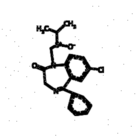 CC(C)[S+]([O-])CN1C(=O)CN=C(c2ccccc2)c2cc(Cl)ccc21